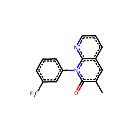 Cc1cc2cccnc2n(-c2cccc(C(F)(F)F)c2)c1=O